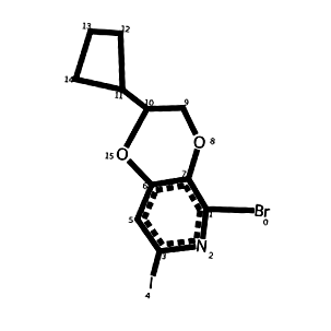 Brc1nc(I)cc2c1OCC(C1CCC1)O2